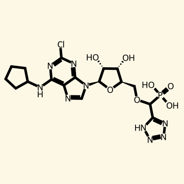 O=P(O)(O)C(OC[C@H]1O[C@@H](n2cnc3c(NC4CCCC4)nc(Cl)nc32)[C@H](O)[C@@H]1O)c1nnn[nH]1